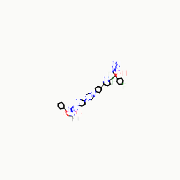 CC[C@@H]([C@H](C)OCc1ccccc1)n1ncn(-c2ccc(N3CCN(c4ccc(-c5ccc(C(F)(F)C(O)(Cn6cnnn6)c6ccc(F)cc6)nc5)cc4)CC3)cn2)c1=O